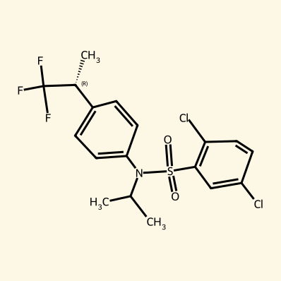 CC(C)N(c1ccc([C@@H](C)C(F)(F)F)cc1)S(=O)(=O)c1cc(Cl)ccc1Cl